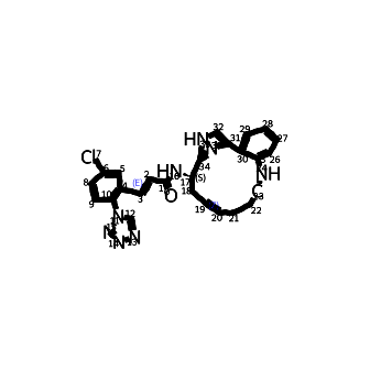 O=C(/C=C/c1cc(Cl)ccc1-n1cnnn1)N[C@H]1C/C=C\CCCNc2ccccc2-c2c[nH]c1n2